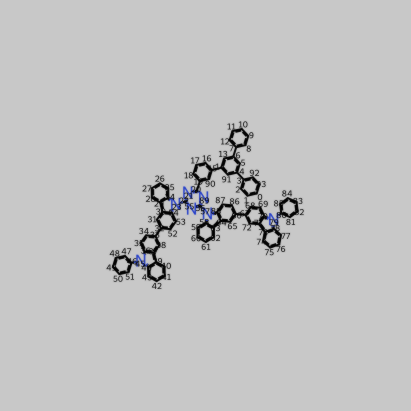 c1ccc(-c2cc(-c3ccccc3)cc(-c3cccc(-c4nc(-n5c6ccccc6c6cc(-c7ccc8c(c7)c7ccccc7n8-c7ccccc7)ccc65)nc(-n5c6ccccc6c6cc(-c7ccc8c(c7)c7ccccc7n8-c7ccccc7)ccc65)n4)c3)c2)cc1